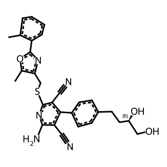 Cc1ccccc1-c1nc(CSc2nc(N)c(C#N)c(-c3ccc(CC[C@@H](O)CO)cc3)c2C#N)c(C)o1